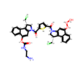 NCCNC(=O)Oc1cc2c(c3ccccc13)[C@H](CCl)CN2C(=O)c1ccc(C(=O)N2C[C@@H](CCl)c3c2cc(OOO)c2ccccc32)s1